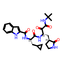 CC(C)(C)NC(=O)C(=O)[C@H](C[C@@H]1CCNC1=O)NC(=O)[C@H](CC1CC1)NC(=O)c1cc2ccccc2[nH]1